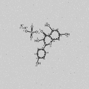 O=S(=O)([O-])[O-].O=c1c(O)c(-c2ccc(O)cc2)oc2cc(O)cc(O)c12.[K+].[K+]